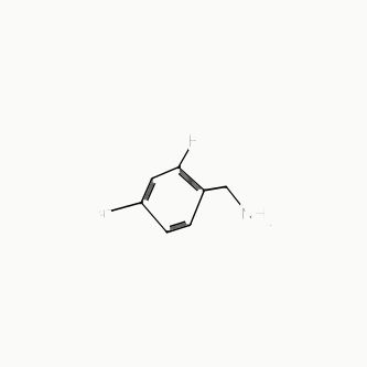 NCc1ccc(Br)cc1Br